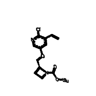 C=Cc1cc(OC[C@@H]2CCN2C(=O)OC(C)(C)C)cnc1Cl